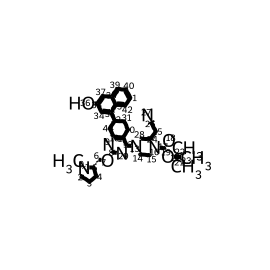 CN1CCC[C@H]1COc1nc2c(c(N3CCN(C(=O)OC(C)(C)C)C(CC#N)C3)n1)CCC(c1cc(O)cc3ccccc13)C2